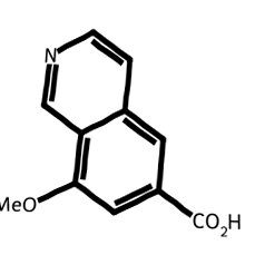 COc1cc(C(=O)O)cc2ccncc12